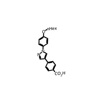 CCCCCCOc1ccc(-n2cc(-c3ccc(C(=O)O)cc3)cn2)cc1